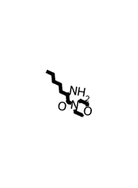 CCCCCC(N)C(=O)N1CCOCC1